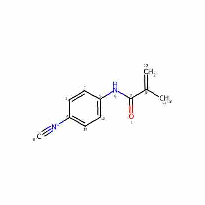 [C-]#[N+]c1ccc(NC(=O)C(=C)C)cc1